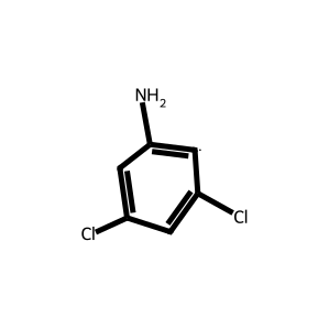 Nc1[c]c(Cl)cc(Cl)c1